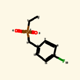 [CH2]CS(=O)(=O)Cc1ccc(F)cc1